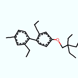 CCc1cc(C)ccc1-c1ccc(OCC(CC)(CC)CC)cc1CC